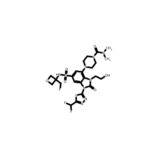 CN(C)C(=O)N1CCN(c2cc(S(=O)(=O)NC3(CF)COC3)cc3c2n(CCO)c(=O)n3-c2nnc(C(F)F)s2)CC1